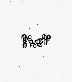 O=C(Nc1c(F)cccc1F)c1cc2c(s1)-c1sccc1N(C(=O)c1ccc(NC(=O)c3cccnc3N3CC4(CCOCC4)C3)cc1F)CC2